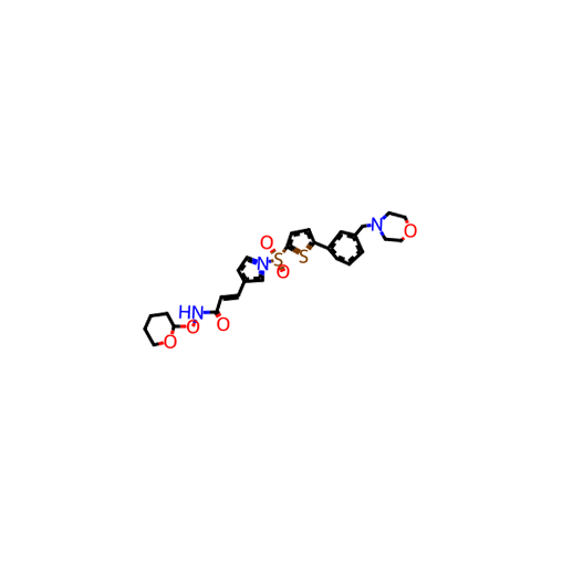 O=C(C=Cc1ccn(S(=O)(=O)c2ccc(-c3cccc(CN4CCOCC4)c3)s2)c1)NOC1CCCCO1